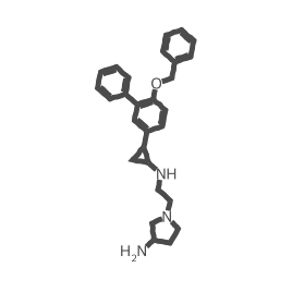 NC1CCN(CCNC2CC2c2ccc(OCc3ccccc3)c(-c3ccccc3)c2)C1